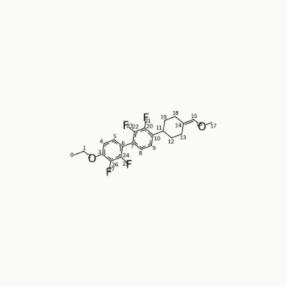 CCOc1ccc(-c2ccc(C3CCC(=COC)CC3)c(F)c2F)c(F)c1F